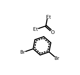 Brc1cccc(Br)c1.CCC(=O)CC